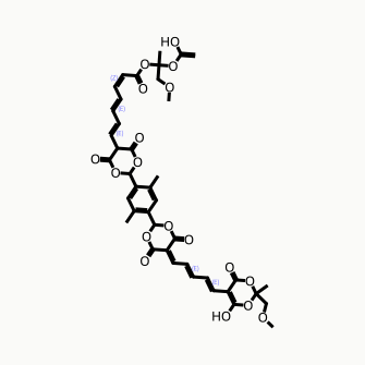 C=C(O)OC(C)(COC)OC(=O)\C=C/C=C/C=C/C1C(=O)OC(c2cc(C)c(C3OC(=O)C(=C/C=C/C=C/C4=C(O)OC(C)(COC)OC4=O)C(=O)O3)cc2C)OC1=O